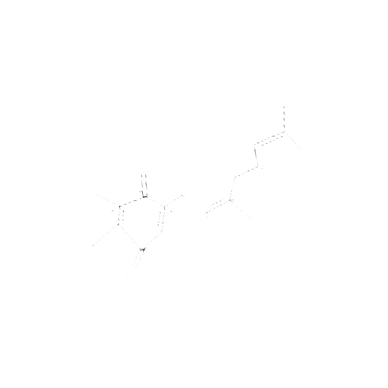 CC(C)=CCCC(C)=CCC1=CC(=O)C(C)=C(C)C1=O